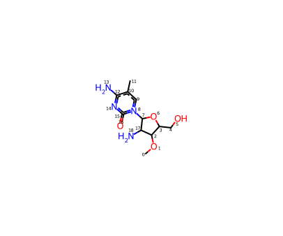 COC1C(CO)OC(n2cc(C)c(N)nc2=O)C1N